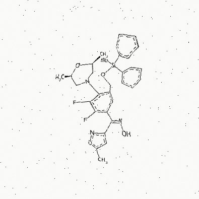 Cc1cc(C(=NO)c2cc(CO[Si](c3ccccc3)(c3ccccc3)C(C)(C)C)c(N3C[C@@H](C)O[C@@H](C)C3)c(F)c2F)no1